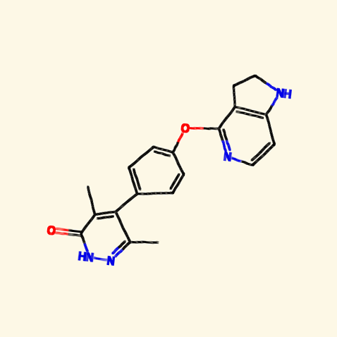 Cc1n[nH]c(=O)c(C)c1-c1ccc(Oc2nccc3c2CCN3)cc1